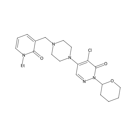 CCn1cccc(CN2CCN(c3cnn(C4CCCCO4)c(=O)c3Cl)CC2)c1=O